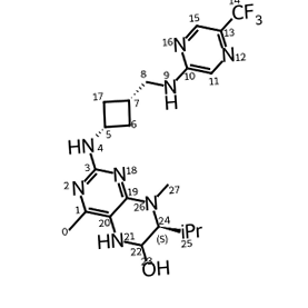 Cc1nc(N[C@H]2C[C@@H](CNc3cnc(C(F)(F)F)cn3)C2)nc2c1NC(O)[C@H](C(C)C)N2C